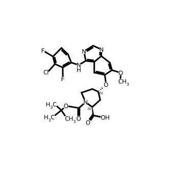 COc1cc2ncnc(Nc3ccc(F)c(Cl)c3F)c2cc1O[C@H]1CCN(C(=O)OC(C)(C)C)[C@H](C(=O)O)C1